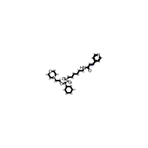 O=C(/C=C/c1ccncc1)NCCCCCCS(=O)(=O)N(OCCN1CCOCC1)C1CCCCC1